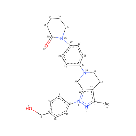 CC(=O)c1nn(-c2ccc(CO)cc2)c2c1CCN(c1ccc(N3CCCCC3=O)cc1)C2